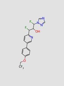 OC(C(F)c1ccc(-c2ccc(OCC(F)(F)F)cc2)cn1)C(F)n1cncn1